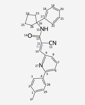 Cc1ccc(-c2cccc(/C=C(\C#N)C(=O)NC3(c4ccccc4)CCCC3)n2)cc1